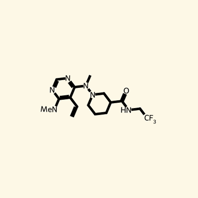 C=Cc1c(NC)ncnc1N(C)N1CCCC(C(=O)NCC(F)(F)F)C1